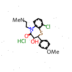 CNCCN1C(=O)C(O)C(c2ccc(OC)cc2)Sc2c(Cl)cccc21.Cl